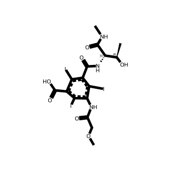 CNC(=O)[C@@H](NC(=O)c1c(I)c(NC(=O)COC)c(I)c(C(=O)O)c1I)[C@@H](C)O